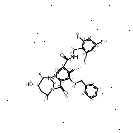 C[C@@H]1[C@@H](O)C[C@H](C)N2CN1n1cc(C(=O)NCc3c(F)cc(F)cc3F)c(=O)c(OCc3ccccc3)c1C2=O